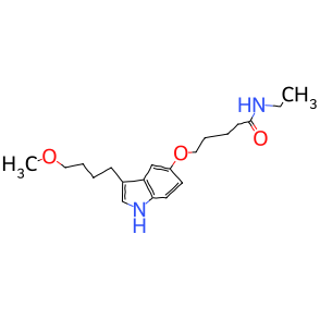 CCNC(=O)CCCCOc1ccc2[nH]cc(CCCCOC)c2c1